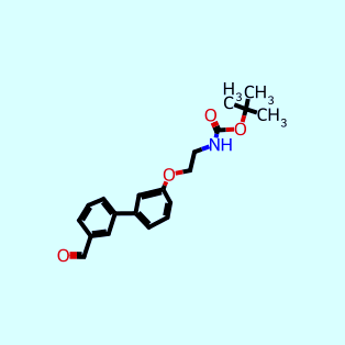 CC(C)(C)OC(=O)NCCOc1cccc(-c2cccc(C=O)c2)c1